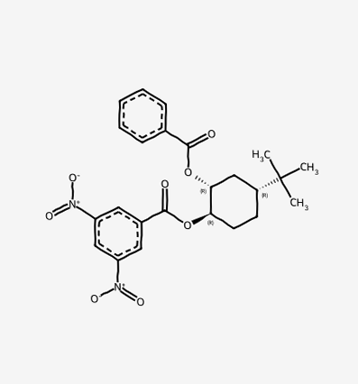 CC(C)(C)[C@@H]1CC[C@@H](OC(=O)c2cc([N+](=O)[O-])cc([N+](=O)[O-])c2)[C@H](OC(=O)c2ccccc2)C1